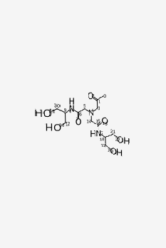 CC(=O)CN(CC(=O)NC(CO)CO)CC(=O)NC(CO)CO